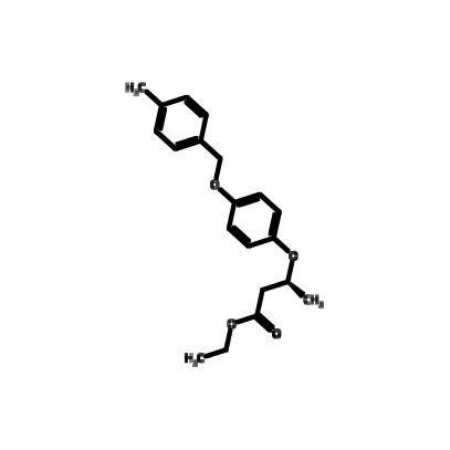 CCOC(=O)C[C@H](C)Oc1ccc(OCc2ccc(C)cc2)cc1